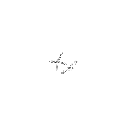 O=S(=O)(O)O.[Fe].[K+].[O]=[Mn](=[O])(=[O])[O-]